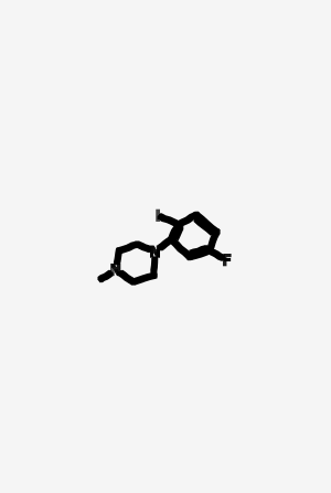 CN1CCN(c2cc(F)ccc2I)CC1